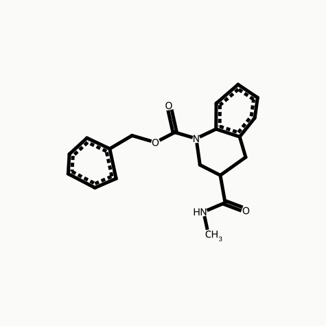 CNC(=O)C1Cc2ccccc2N(C(=O)OCc2ccccc2)C1